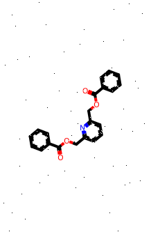 O=C(OCc1cccc(COC(=O)c2ccccc2)n1)c1ccccc1